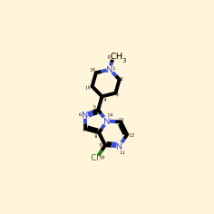 CN1CCC(c2ncc3c(Cl)nccn23)CC1